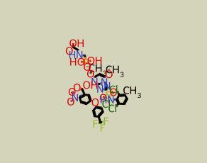 COc1cc(OC)n2nc(S(=O)(=O)Nc3c(Cl)ccc(C)c3Cl)nc2n1.O=C(O)CNCP(=O)(O)O.O=C(O)c1cc(Oc2ccc(C(F)(F)F)cc2Cl)ccc1[N+](=O)[O-]